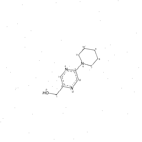 OCc1cnc(N2CCCCC2)cn1